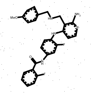 COc1ccc(CNCc2c(Nc3ccc(NC(=O)c4ccccc4F)cc3F)ccnc2N)cc1